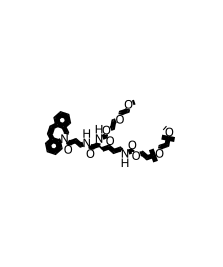 COCCOCCOC(=O)N[C@@H](CCCCNC(=O)OCCC(C)(C)OCCC(C)(C)OC)C(=O)NCCC(=O)N1Cc2ccccc2/C=C\c2ccccc21